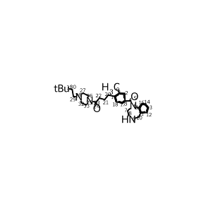 Cc1cc(C(=O)N2CCNCc3ccccc32)ccc1CCCC(=O)N1CCN(CCC(C)(C)C)CC1